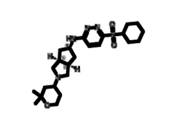 CC1(C)CC(N2C[C@H]3C[C@@H](Nc4ccc(S(=O)(=O)C5CCCCC5)nn4)C[C@H]3C2)CCO1